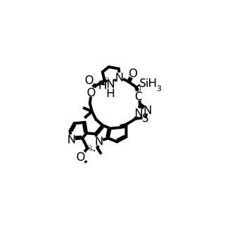 CCn1c(-c2cccnc2[C@H](C)OC)c2c3cc(ccc31)-c1nc(ns1)C[C@H]([SiH3])C(=O)N1CCC[C@H](N1)C(=O)OCC(C)(C)C2